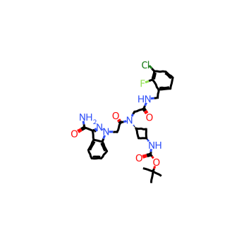 CC(C)(C)OC(=O)N[C@H]1C[C@H](N(CC(=O)NCc2cccc(Cl)c2F)C(=O)Cn2nc(C(N)=O)c3ccccc32)C1